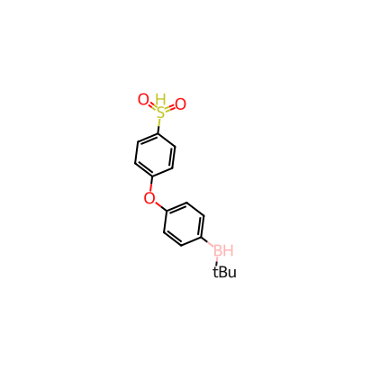 CC(C)(C)Bc1ccc(Oc2ccc([SH](=O)=O)cc2)cc1